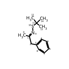 CC(Cc1ccccc1)=NSC(C)(C)C